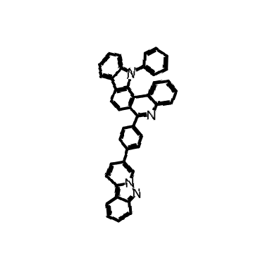 c1ccc(-n2c3ccccc3c3ccc4c(-c5ccc(-c6ccc7c8ccccc8nn7c6)cc5)nc5ccccc5c4c32)cc1